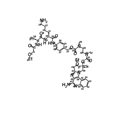 CCOCC(=O)N[C@H](C(=O)N[C@@H](CCCCN)C(=O)Nc1ccc(COC(=O)N(C)CCN(C)C(=O)OC(C)(C)Cn2c(COCC)nc3c(N)nc4ccccc4c32)cc1)C(C)C